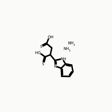 N.N.OC(=S)CC(C(O)=S)c1nc2ccccc2[nH]1